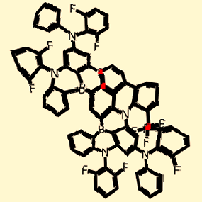 Fc1cccc(F)c1N(c1ccccc1)c1cc2c3c(c1)N(c1c(F)cccc1F)c1ccccc1B3c1cc3c(cc1S2)N(c1c(-c2ccccc2)cccc1C(F)(F)F)c1cc(N(c2ccccc2)c2c(F)cccc2F)cc2c1B3c1ccccc1N2c1c(F)cccc1F